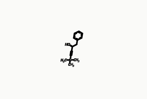 C[Si](C)(C)C#CC(O)Cc1ccccc1